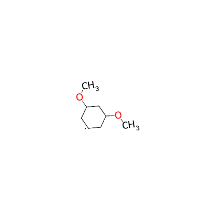 COC1C[CH]CC(OC)C1